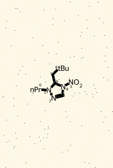 CCCN1N=CN([N+](=O)[O-])C1CC(C)(C)C